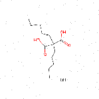 CCCCCC(CCCCC)(C(=O)O)C(=O)O.[LiH]